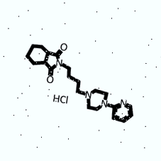 Cl.O=C1C2CCCCC2C(=O)N1CCCCN1CCN(c2ccccn2)CC1